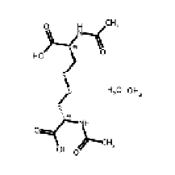 CC(=O)N[C@@H](CSSC[C@H](NC(C)=O)C(=O)O)C(=O)O.O.O